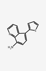 Nc1ccc(-c2cccs2)c2cccnc12